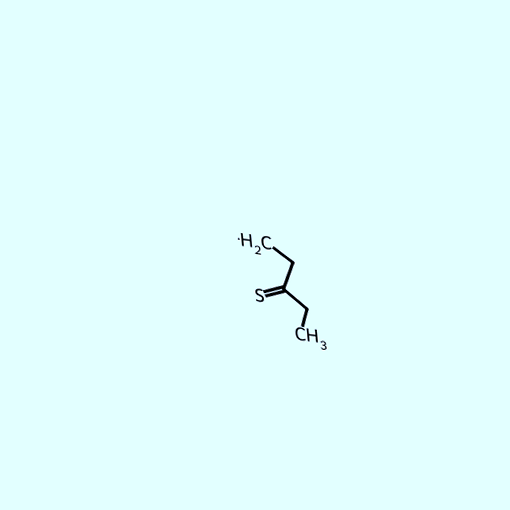 [CH2]CC(=S)CC